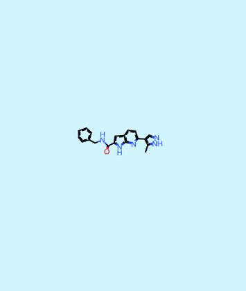 Cc1[nH]ncc1-c1ccc2cc(C(=O)NCc3ccccc3)[nH]c2n1